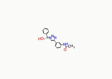 CC(=O)Nc1cccc(-c2cn([C@H](CO)c3ccccc3)nn2)c1